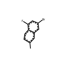 Cc1ccc2c(F)cc(Br)[c]c2c1